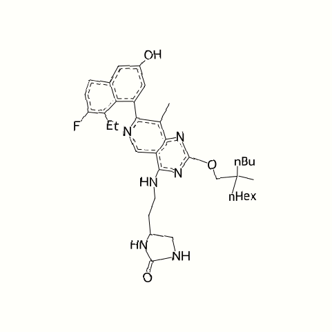 CCCCCCC(C)(CCCC)COc1nc(NCCC2CNC(=O)N2)c2cnc(-c3cc(O)cc4ccc(F)c(CC)c34)c(C)c2n1